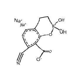 N#Cc1ccc2c(c1C(=O)[O-])O[B-](O)(O)CC2.[Na+].[Na+]